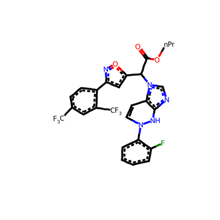 CCCOC(=O)C(c1cc(-c2ccc(C(F)(F)F)cc2C(F)(F)F)no1)n1cnc2c1C=CN(c1ccccc1F)N2